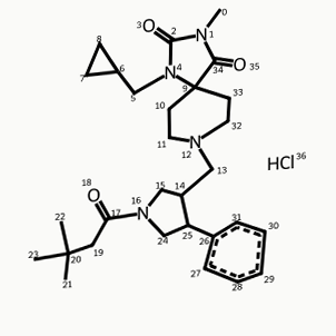 CN1C(=O)N(CC2CC2)C2(CCN(CC3CN(C(=O)CC(C)(C)C)CC3c3ccccc3)CC2)C1=O.Cl